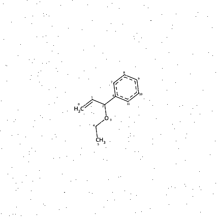 C=CC(OCC)c1ccccc1